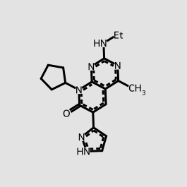 CCNc1nc(C)c2cc(-c3cc[nH]n3)c(=O)n(C3CCCC3)c2n1